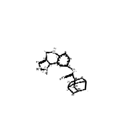 O=C(Oc1ccc2c(c1)C1NNC=C1CO2)C12CC3CC(CC(C3)C1)C2